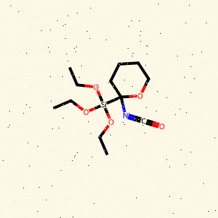 CCO[Si](OCC)(OCC)C1(N=C=O)CCCCO1